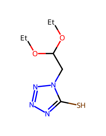 CCOC(Cn1nnnc1S)OCC